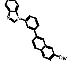 COc1cc2cc(-c3cccc(-n4cnc5ccccc54)c3)ccc2cc1O